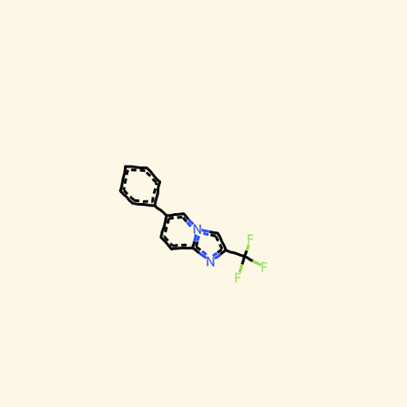 FC(F)(F)c1cn2cc(-c3ccccc3)ccc2n1